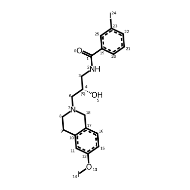 O=C(NC[C@H](O)CN1CCc2cc(OI)ccc2C1)c1cccc(I)c1